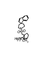 CC1(C)C2CCC1(CS(=O)(=O)N1CCC3(C=Cc4ccccc43)CC1)C(N)C2